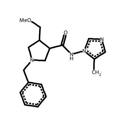 [CH2]c1cncn1NC(=O)C1CN(Cc2ccccc2)CC1COC